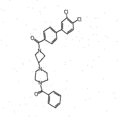 O=C(c1ccccc1)N1CCN(C2CN(C(=O)c3ccc(-c4ccc(Cl)c(Cl)c4)cc3)C2)CC1